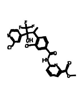 COC(=O)c1cccc(NC(=O)c2ccc(C(C)C(O)(c3ccnc(Cl)c3)C(F)(F)F)c(Cl)c2)n1